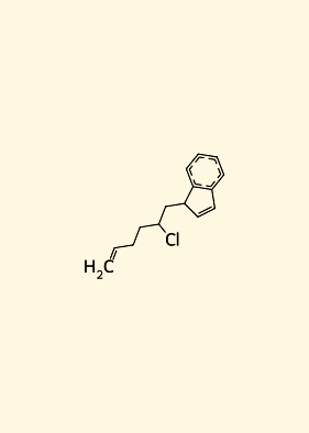 C=CCCC(Cl)CC1C=Cc2ccccc21